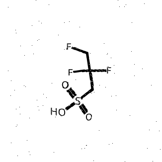 O=S(=O)(O)CC(F)(F)CF